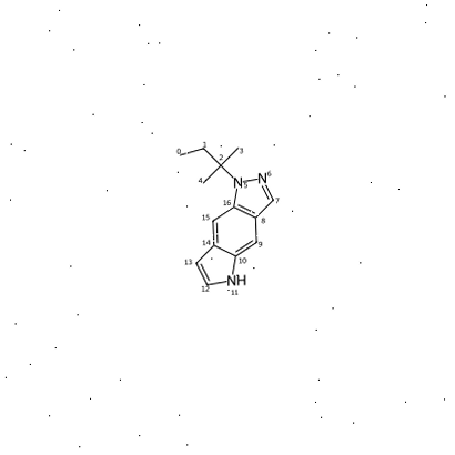 CCC(C)(C)n1ncc2cc3[nH]ccc3cc21